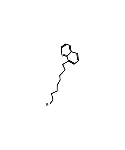 BrCCCC[CH]CCCc1cccc2cccnc12